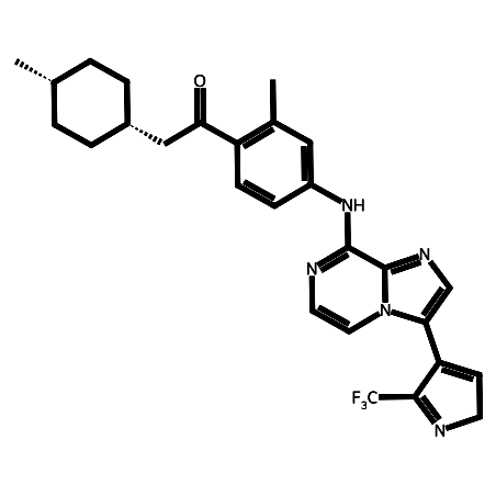 Cc1cc(Nc2nccn3c(C4=CCN=C4C(F)(F)F)cnc23)ccc1C(=O)C[C@H]1CC[C@@H](C)CC1